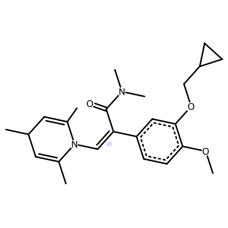 COc1ccc(/C(=C/N2C(C)=CC(C)C=C2C)C(=O)N(C)C)cc1OCC1CC1